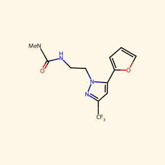 CNC(=O)NCCn1nc(C(F)(F)F)cc1-c1ccco1